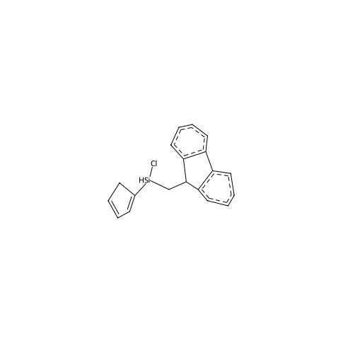 Cl[SiH](CC1c2ccccc2-c2ccccc21)C1=CC=CC1